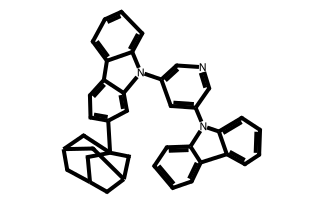 c1ccc2c(c1)c1ccccc1n2-c1cncc(-n2c3ccccc3c3ccc(C45CC6CC(CC(C6)C4)C5)cc32)c1